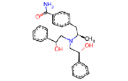 C[C@H](Cc1ccc(C(N)=O)cc1)N(C[C@H](O)c1ccccc1)C[C@H](O)c1ccccc1